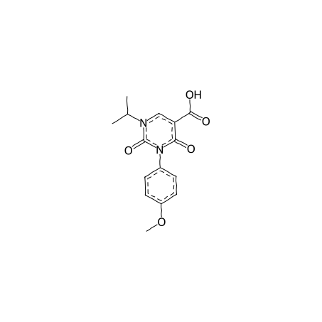 COc1ccc(-n2c(=O)c(C(=O)O)cn(C(C)C)c2=O)cc1